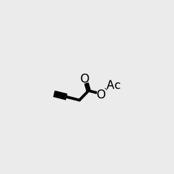 C#CCC(=O)OC(C)=O